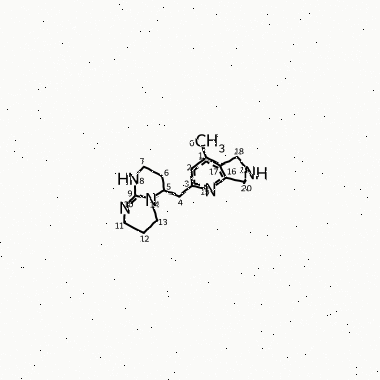 Cc1cc(CC2CCNC3=NCCCN32)nc2c1CNC2